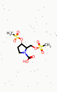 CS(=O)(=O)OCC1[C@@H](OS(C)(=O)=O)CCN1C(=O)O